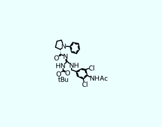 CC(=O)Nc1c(Cl)cc(CN/C(=N/C(=O)[C@@H]2CCCN2c2ccccc2)NC(=O)OC(C)(C)C)cc1Cl